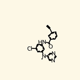 C#Cc1cccc(C(=O)Nc2cc(Cl)cc(N(C)c3cncnc3)c2)c1